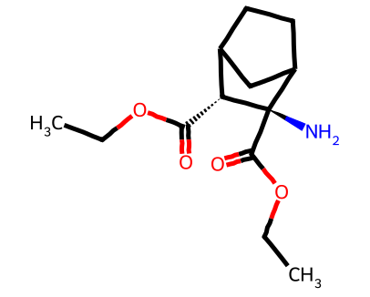 CCOC(=O)[C@@H]1C2CCC(C2)[C@]1(N)C(=O)OCC